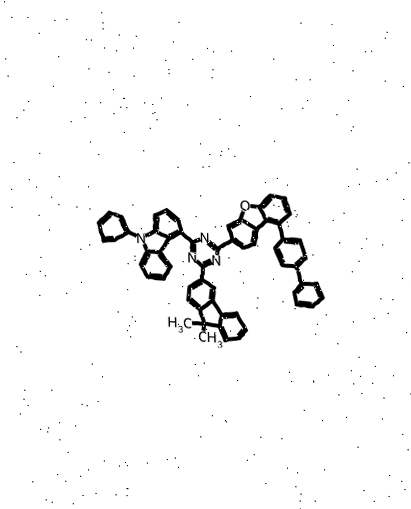 CC1(C)c2ccccc2-c2cc(-c3nc(-c4ccc5c(c4)oc4cccc(-c6ccc(-c7ccccc7)cc6)c45)nc(-c4cccc5c4c4ccccc4n5-c4ccccc4)n3)ccc21